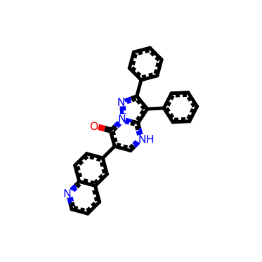 O=c1c(-c2ccc3ncccc3c2)c[nH]c2c(-c3ccccc3)c(-c3ccccc3)nn12